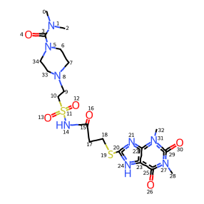 CN(C)C(=O)N1CCN(CCS(=O)(=O)NC(=O)CCSc2nc3c([nH]2)c(=O)n(C)c(=O)n3C)CC1